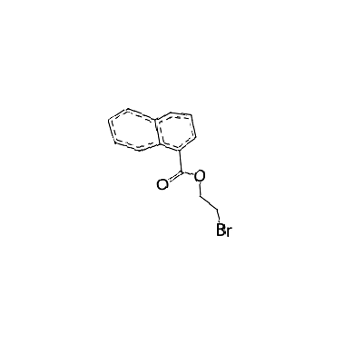 O=C(OCCBr)c1cccc2ccccc12